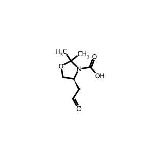 CC1(C)OC[C@H](CC=O)N1C(=O)O